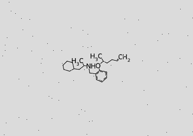 C=CCCC(C)Oc1ccccc1CNC(C)CC1CCCCC1